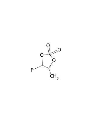 CC1OS(=O)(=O)OC1F